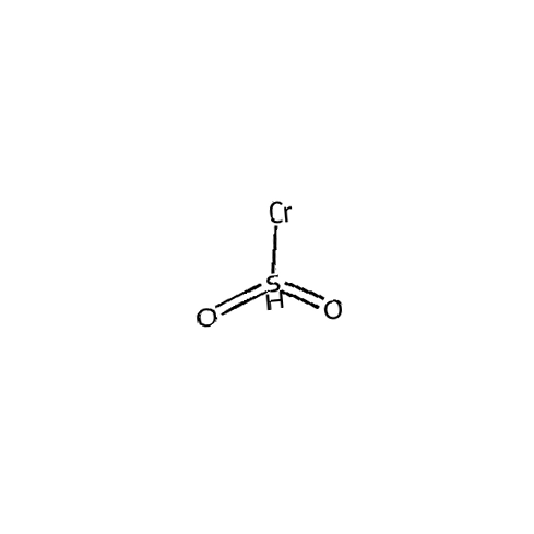 O=[SH](=O)[Cr]